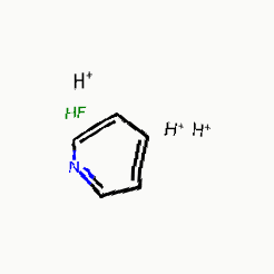 F.[H+].[H+].[H+].c1ccncc1